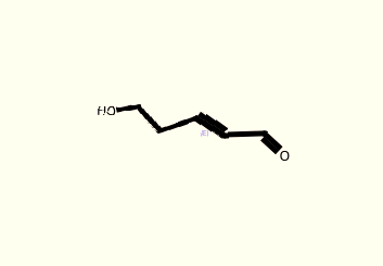 O=C/C=C/CCO